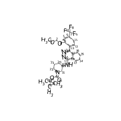 COCOc1cc(C(F)(F)F)ccc1-c1nnc(N[C@@H]2CCCN(C(=O)OC(C)(C)C)C2)c2ccccc12